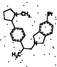 CC(C)c1ccc2c(c1)CN(CC(C)c1ccc(C3CCCN3C)cc1)C2